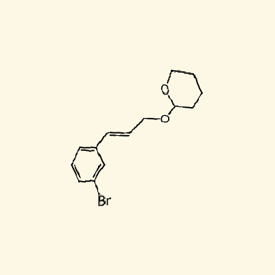 Brc1cccc(/C=C/COC2CCCCO2)c1